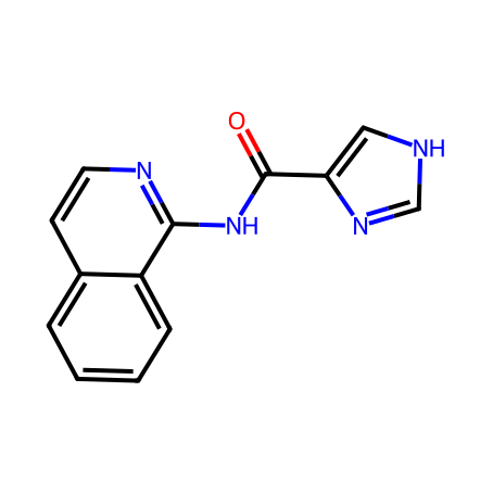 O=C(Nc1nccc2ccccc12)c1c[nH]cn1